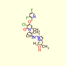 C=C/C(=C(C)\C=N/Cn1ccc(CC(C)(C)O)n1)n1c(C)cc(OCc2ncc(F)cc2F)c(Cl)c1=O